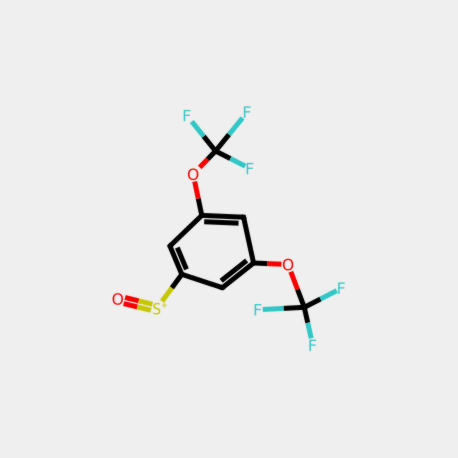 O=[S+]c1cc(OC(F)(F)F)cc(OC(F)(F)F)c1